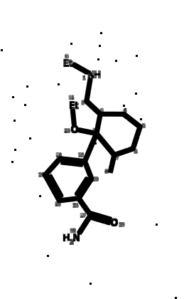 CCNCC1CCCC(C)C1(OCC)c1cccc(C(N)=O)c1